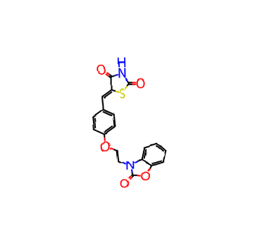 O=C1NC(=O)C(=Cc2ccc(OCCn3c(=O)oc4ccccc43)cc2)S1